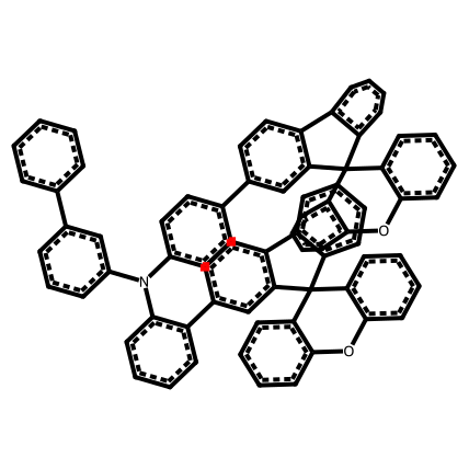 c1ccc(-c2cccc(N(c3ccc(-c4ccc5c(c4)C4(c6ccccc6Oc6ccccc64)c4ccccc4-5)cc3)c3ccccc3-c3ccc4c(c3)C3(c5ccccc5Oc5ccccc53)c3ccccc3-4)c2)cc1